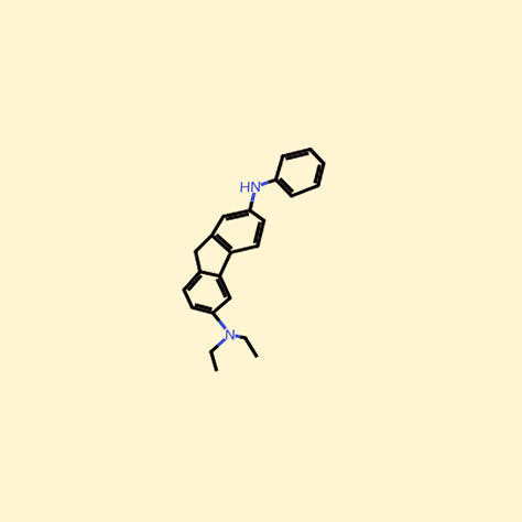 CCN(CC)c1ccc2c(c1)-c1ccc(Nc3ccccc3)cc1C2